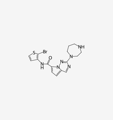 O=C(Nc1ccsc1Br)c1ccc2cnc(N3CCCNCC3)nn12